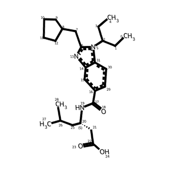 CCC(CC)n1c(CC2CCCC2)nc2cc(C(=O)N[C@H](CC(=O)O)CC(C)C)ccc21